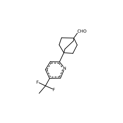 CC(F)(F)c1ccc(C23CCC(C=O)(CC2)CC3)nc1